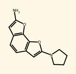 Nc1cc2ccc3cc(N4CCCC4)oc3c2o1